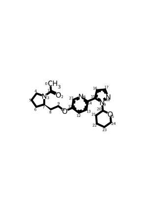 CC(=O)N1CCC[C@@H]1CCOc1ccc(-c2ccnn2C2CCCCO2)nc1